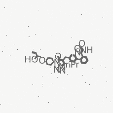 C=CC(O)COC1CCC(n2c(=O)c(Cc3ccc(-c4ccccc4-c4noc(=O)[nH]4)cc3)c(CCC)n3ncnc23)CC1